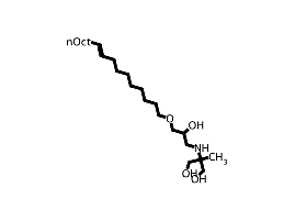 CCCCCCCCC=CCCCCCCCCOCC(O)CNC(C)(CO)CO